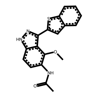 COc1c(NC(C)=O)ccc2[nH]nc(-c3cc4ccccc4s3)c12